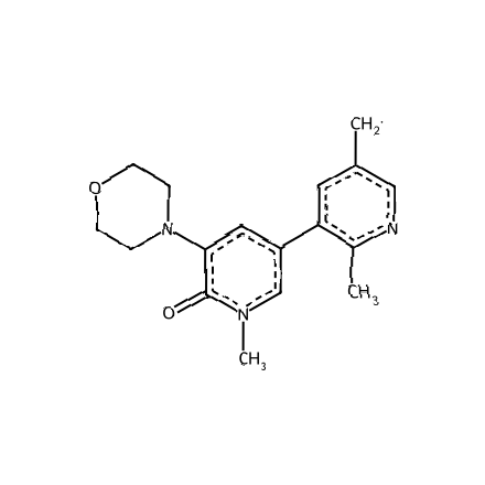 [CH2]c1cnc(C)c(-c2cc(N3CCOCC3)c(=O)n(C)c2)c1